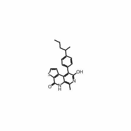 CCCC(C)c1ccc(-c2c(O)nc(C)c3[nH]c(=O)c4sccc4c23)cc1